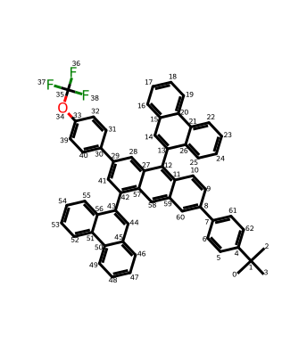 CC(C)(C)c1ccc(-c2ccc3c(-c4cc5ccccc5c5ccccc45)c4cc(-c5ccc(OC(F)(F)F)cc5)cc(-c5cc6ccccc6c6ccccc56)c4cc3c2)cc1